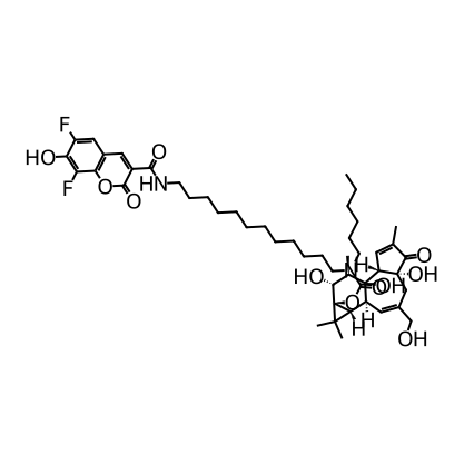 CCCCCCN(CCCCCCCCCCCCNC(=O)c1cc2cc(F)c(O)c(F)c2oc1=O)C(=O)O[C@@]12[C@H](O)[C@@H](C)[C@@]3(O)[C@@H](C=C(CO)C[C@]4(O)C(=O)C(C)=C[C@@H]34)[C@@H]1C2(C)C